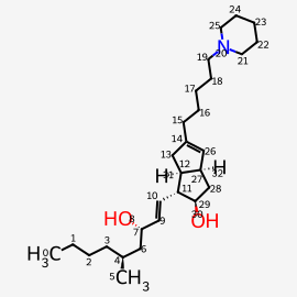 CCCC[C@H](C)C[C@H](O)/C=C/[C@@H]1[C@H]2CC(CCCCCN3CCCCC3)=C[C@H]2C[C@H]1O